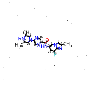 Cc1cn2cc(NC(=O)c3cnc(N4C[C@H](C)N[C@@H](C)C4)cn3)cc(F)c2n1